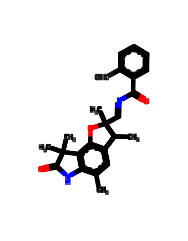 Cc1cc2c(c3c1NC(=O)C3(C)C)OC(C)(C=NC(=O)c1ccccc1C=O)C2C